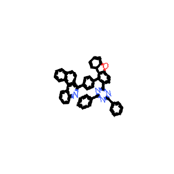 C1=CC2Oc3ccc(-c4nc(-c5ccccc5)nc(-c5ccccc5)n4)c(-c4ccc(-c5nc6ccccc6c6c5ccc5ccccc56)cc4)c3C2C=C1